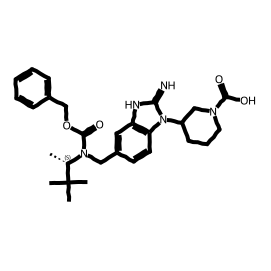 C[C@H](N(Cc1ccc2c(c1)[nH]c(=N)n2C1CCCN(C(=O)O)C1)C(=O)OCc1ccccc1)C(C)(C)C